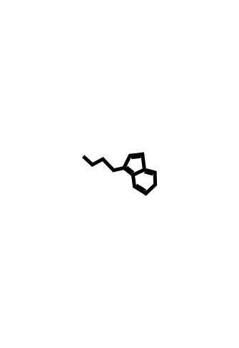 CCCCC1=C2C=CCC=C2C=C1